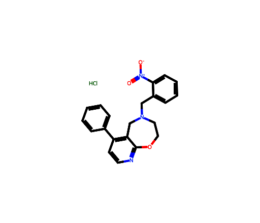 Cl.O=[N+]([O-])c1ccccc1CN1CCOc2nccc(-c3ccccc3)c2C1